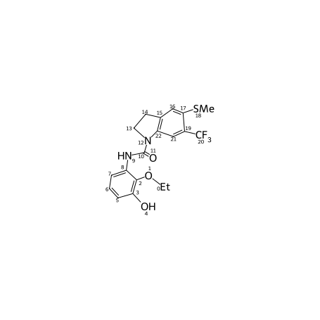 CCOc1c(O)cccc1NC(=O)N1CCc2cc(SC)c(C(F)(F)F)cc21